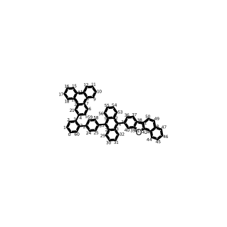 c1ccc(-c2ccc3c4ccccc4c4ccccc4c3c2)c(-c2ccc(-c3c4ccccc4c(-c4ccc5c(c4)oc4c6ccccc6ccc54)c4ccccc34)cc2)c1